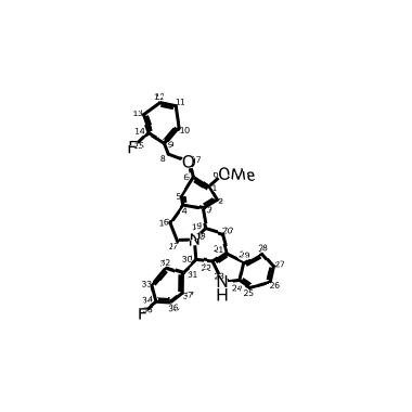 COc1cc2c(cc1OCc1ccccc1F)CCN1C2Cc2c([nH]c3ccccc23)C1c1ccc(F)cc1